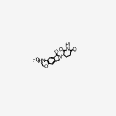 O=C1CC[C@H](N2Cc3cc4c(cc3C2=O)N[C@@H](CO)CO4)C(=O)N1